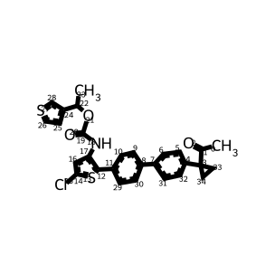 CC(=O)C1(c2ccc(-c3ccc(-c4sc(Cl)cc4NC(=O)OC(C)c4ccsc4)cc3)cc2)CC1